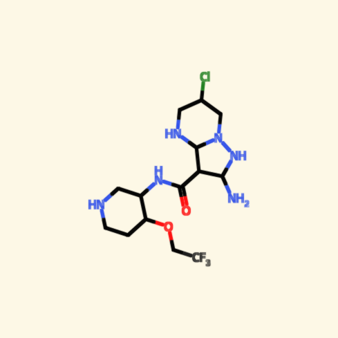 NC1NN2CC(Cl)CNC2C1C(=O)NC1CNCCC1OCC(F)(F)F